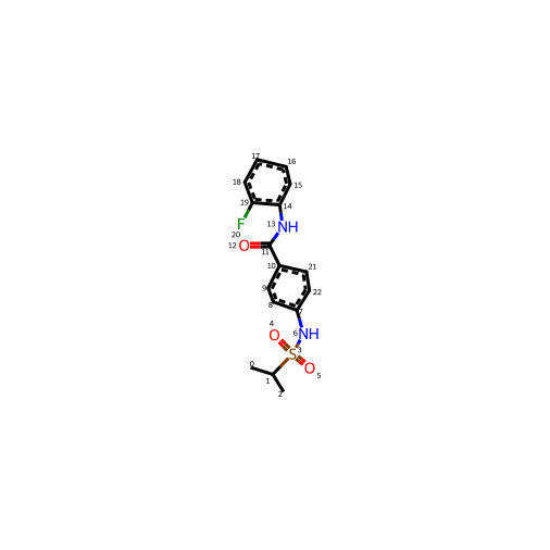 CC(C)S(=O)(=O)Nc1ccc(C(=O)Nc2ccccc2F)cc1